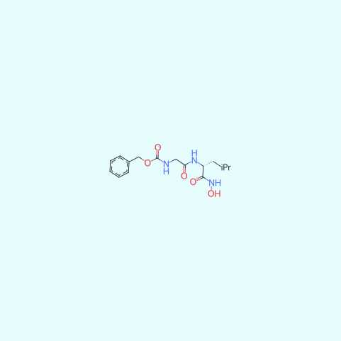 CC(C)C[C@@H](NC(=O)CNC(=O)OCc1ccccc1)C(=O)NO